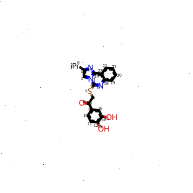 CC(C)c1cn2c(SCC(=O)c3ccc(O)c(O)c3)nc3ccccc3c2n1